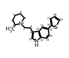 CC1CCCCN1CCc1c[nH]c2ccc(-c3cccs3)cc12